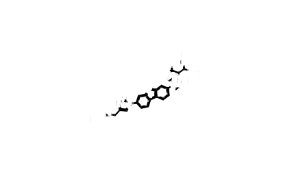 COCc1cn(-c2ccc3c(c2)sc2cc(S(=O)(=O)N[C@H](C(=O)O)C(C)C)ccc23)nn1